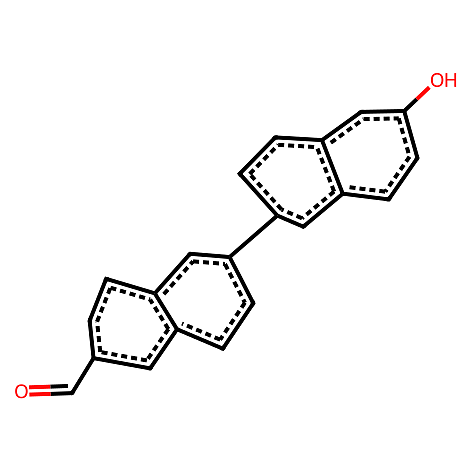 O=Cc1ccc2cc(-c3ccc4cc(O)ccc4c3)ccc2c1